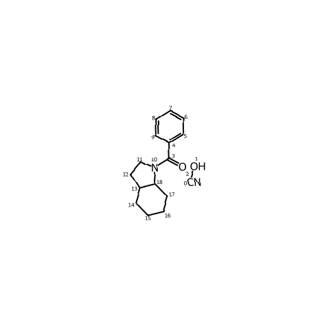 N#CO.O=C(c1ccccc1)N1CCC2CCCCC21